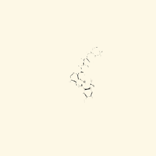 O=C(Nc1nc(CN2CCOCC2)cs1)c1cccc2[nH]c(-c3cc(F)ccc3C(F)(F)F)nc12